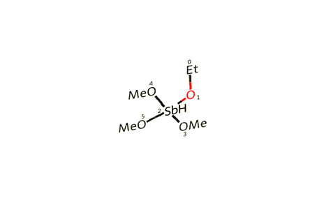 CC[O][SbH]([O]C)([O]C)[O]C